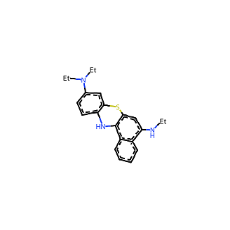 CCNc1cc2c(c3ccccc13)Nc1ccc(N(CC)CC)cc1S2